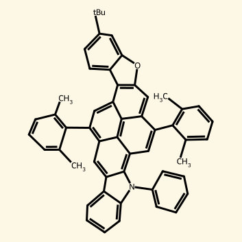 Cc1cccc(C)c1-c1cc2c3c(cc4c5ccccc5n(-c5ccccc5)c42)c(-c2c(C)cccc2C)cc2c4c(cc1c23)oc1cc(C(C)(C)C)ccc14